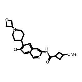 COC1CC(C(=O)Nc2cc3cc(C4CCN(C5COC5)CC4)c(Cl)cc3cn2)C1